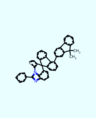 CC1(C)c2ccccc2-c2ccc(-c3cccc4c3-c3ccccc3C43c4ccccc4-n4c(-c5ccccc5)nc5cccc3c54)cc21